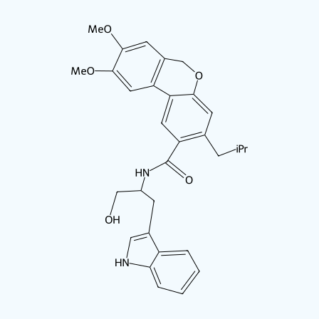 COc1cc2c(cc1OC)-c1cc(C(=O)NC(CO)Cc3c[nH]c4ccccc34)c(CC(C)C)cc1OC2